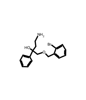 NCCC(O)(COCc1ccccc1Br)c1ccccc1